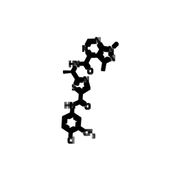 Cc1nn(C)c2ncnc(C(=O)N[C@H](C)c3ncc(C(=O)Nc4ccc(Cl)c(C(F)(F)F)c4)s3)c12